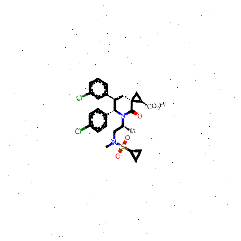 CC[C@@H](CN(C)S(=O)(=O)C1CC1)N1C(=O)[C@@]2(C[C@H](c3cccc(Cl)c3)[C@H]1c1ccc(Cl)cc1)C[C@H]2C(=O)O